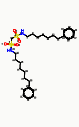 O=S(=O)(CS(=O)(=O)NCCCCCCCc1ccccc1)NCCCCCCCc1ccccc1